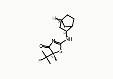 CC(C)(F)[C@@]1(C)SC(N[C@H]2C[C@@H]3CCC2C3)=NC1=O